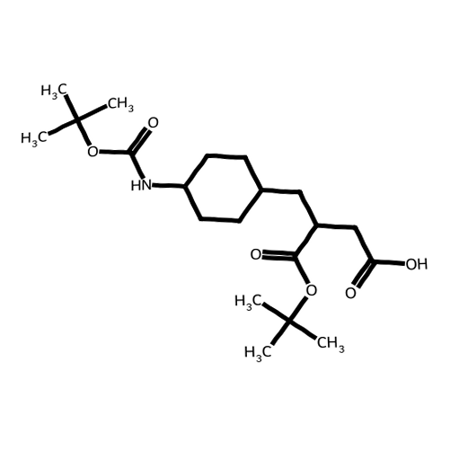 CC(C)(C)OC(=O)NC1CCC(CC(CC(=O)O)C(=O)OC(C)(C)C)CC1